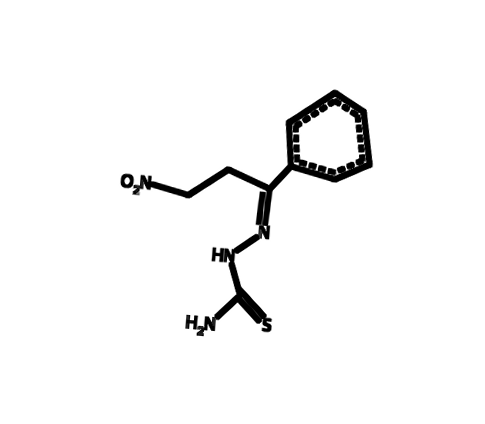 NC(=S)NN=C(CC[N+](=O)[O-])c1ccccc1